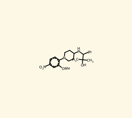 COc1cc([N+](=O)[O-])ccc1N1CCC(NC(C(C)C)C(C)(C)O)CC1